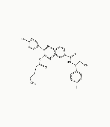 CCCCC(=O)Oc1nc2cc(C(=O)NC(CO)c3ccc(F)cc3)ccc2nc1-c1ccc(Cl)cc1